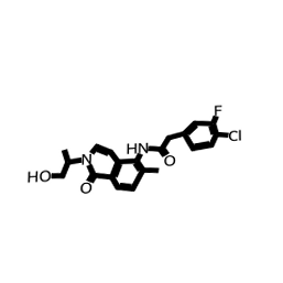 Cc1ccc2c(=O)n(C(C)CO)ccc2c1NC(=O)Cc1ccc(Cl)c(F)c1